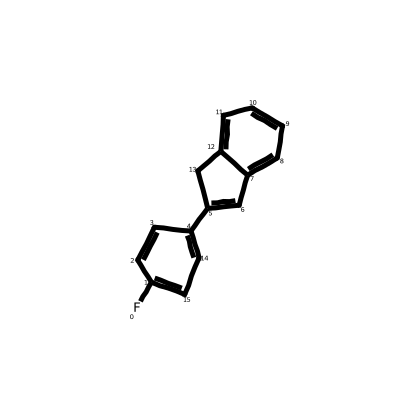 Fc1ccc(C2=Cc3ccccc3C2)cc1